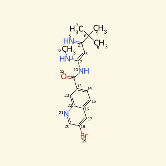 CN/C(=C\C(=N)C(C)(C)C)NC(=O)c1ccc2cc(Br)cnc2c1